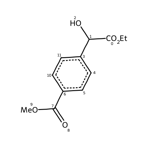 CCOC(=O)C(O)c1ccc(C(=O)OC)cc1